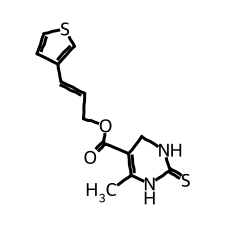 CC1=C(C(=O)OCC=Cc2ccsc2)CNC(=S)N1